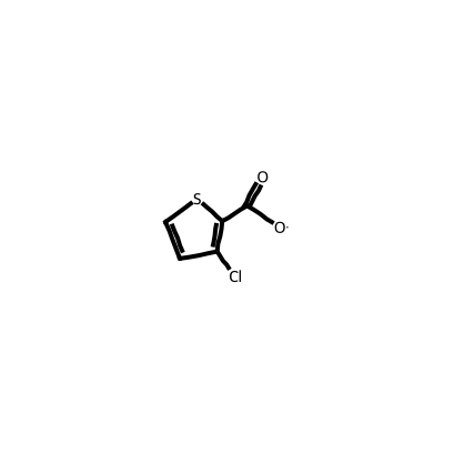 [O]C(=O)c1sccc1Cl